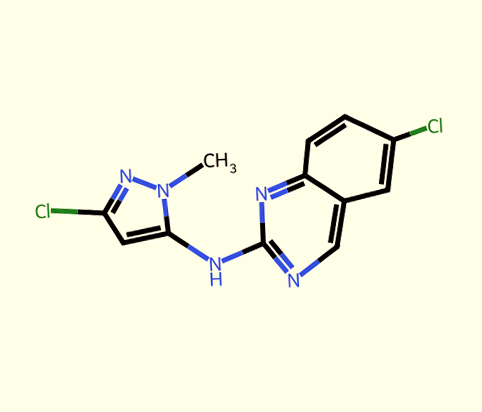 Cn1nc(Cl)cc1Nc1ncc2cc(Cl)ccc2n1